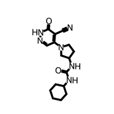 N#Cc1c(N2CCC(NC(=O)NC3CCCCC3)C2)cn[nH]c1=O